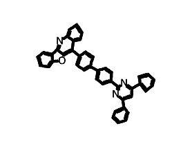 c1ccc(-c2cc(-c3ccccc3)nc(-c3ccc(-c4ccc(-c5c6ccccc6nc6c5oc5ccccc56)cc4)cc3)n2)cc1